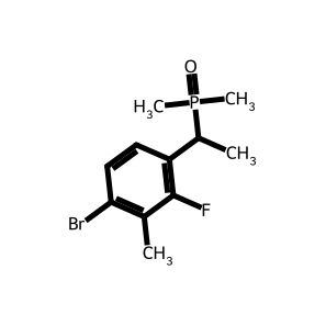 Cc1c(Br)ccc(C(C)P(C)(C)=O)c1F